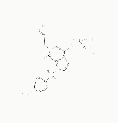 CC=CCn1cc(B2OC(C)(C)C(C)(C)O2)c2ccn(S(=O)(=O)c3ccc(C)cc3)c2c1=O